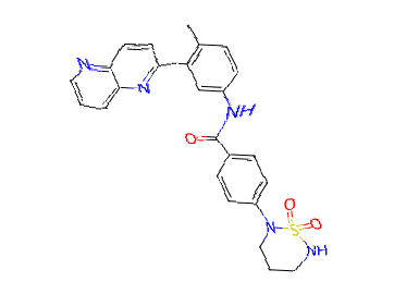 Cc1ccc(NC(=O)c2ccc(N3CCCNS3(=O)=O)cc2)cc1-c1ccc2ncccc2n1